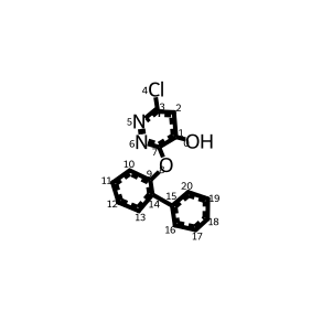 Oc1cc(Cl)nnc1Oc1ccccc1-c1ccccc1